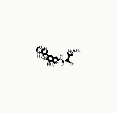 CCC1C(c2cnn(C)c2)[C@H]1C(=O)Nc1cc2cc(-c3cnc4c(c3C)NCCO4)c(F)c(N)c2cn1